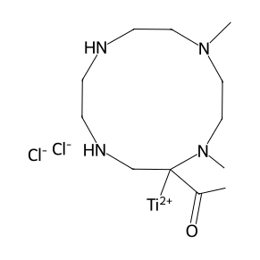 CC(=O)[C]1([Ti+2])CNCCNCCN(C)CCN1C.[Cl-].[Cl-]